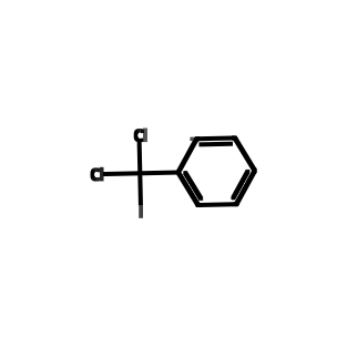 ClC(Cl)(I)c1[c]cccc1